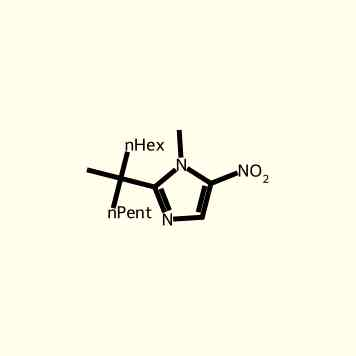 CCCCCCC(C)(CCCCC)c1ncc([N+](=O)[O-])n1C